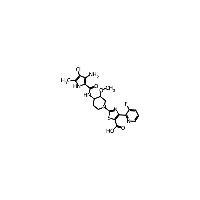 CO[C@H]1CN(c2nc(-c3ncccc3F)c(C(=O)O)s2)CC[C@H]1NC(=O)c1[nH]c(C)c(Cl)c1N